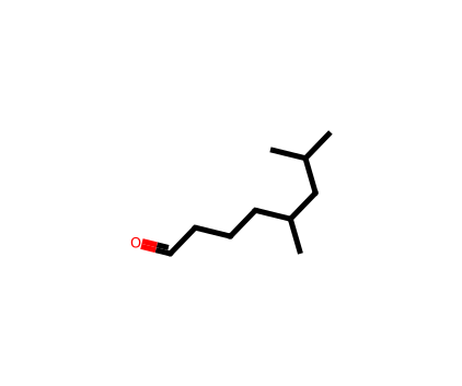 CC(C)CC(C)CCCC=O